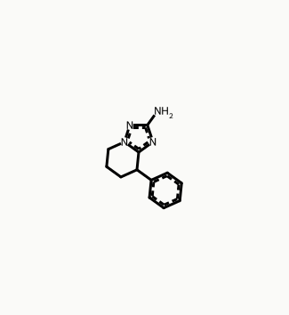 Nc1nc2n(n1)CCCC2c1ccccc1